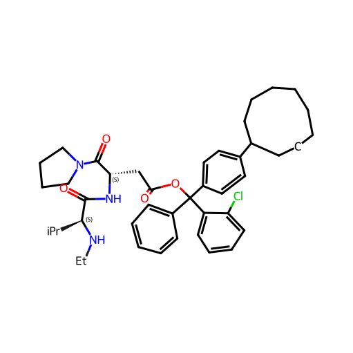 CCN[C@H](C(=O)N[C@@H](CC(=O)OC(c1ccccc1)(c1ccc(C2CCCCCCCC2)cc1)c1ccccc1Cl)C(=O)N1CCCC1)C(C)C